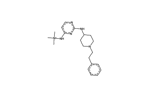 C[N+](C)(C)Nc1ccnc(NC2CCN(CCc3ccccc3)CC2)n1